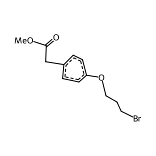 COC(=O)Cc1ccc(OCCCBr)cc1